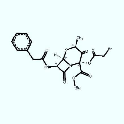 C[C@@H]1S[C@@H]2[C@H](NC(=O)Cc3ccccc3)C(=O)N2[C@](OC(=O)CBr)(C(=O)OC(C)(C)C)C1=O